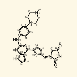 CN1CCN(c2ccc(Nc3nc(-c4ccc(/C=C5\SC(=O)NC5=O)s4)c4cc[nH]c4n3)cc2)CC1